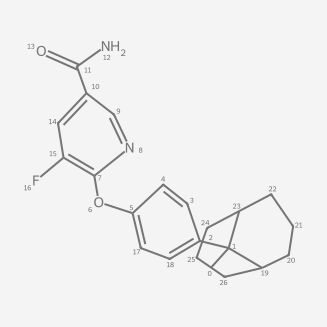 CC1(c2ccc(Oc3ncc(C(N)=O)cc3F)cc2)C2CCCC1CCC2